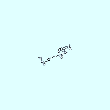 Cc1cccc(-c2ccc3c(c2)C(CCc2ccc(CCCCCCCCCC(=O)CCc4cc(C)cc(C5c6cc7c(cc6CC6CC8CC(C)(C)C9CC(C)CC9C8CC65)CCC5=C7CC=C5)c4C)cc2)C2CCC3C2)c1